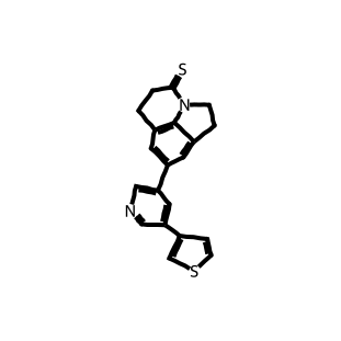 S=C1CCc2cc(-c3cncc(-c4ccsc4)c3)cc3c2N1CC3